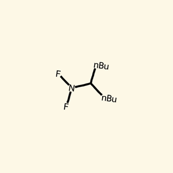 CCCCC(CCCC)N(F)F